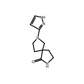 O=C1NCCC12CCN(c1cc[nH]n1)C2